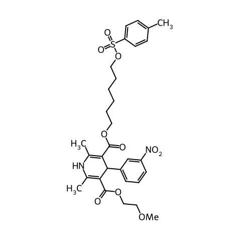 COCCOC(=O)C1=C(C)NC(C)=C(C(=O)OCCCCCCOS(=O)(=O)c2ccc(C)cc2)C1c1cccc([N+](=O)[O-])c1